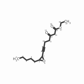 CCCCCC1OC1C#CCCC(=O)CC(=O)OCC